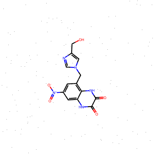 O=c1[nH]c2cc([N+](=O)[O-])cc(Cn3cnc(CO)c3)c2[nH]c1=O